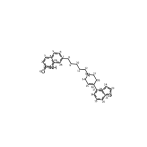 O=c1ccc2ccc(CCCCCN3CC=C(c4cccc5sccc45)CC3)cc2[nH]1